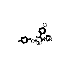 Cc1ccc(COC(=O)SC(c2ccc(Cl)cc2)C(Cl)n2ccnc2)cc1